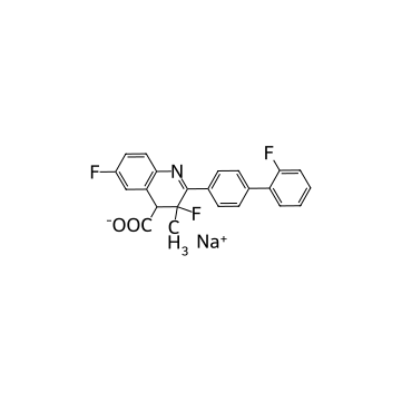 CC1(F)C(c2ccc(-c3ccccc3F)cc2)=Nc2ccc(F)cc2C1C(=O)[O-].[Na+]